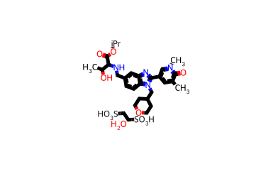 Cc1cc(-c2nc3cc(CNC(C(=O)OC(C)C)C(C)O)ccc3n2CC2CCOCC2)cn(C)c1=O.O.O=S(=O)(O)CCS(=O)(=O)O